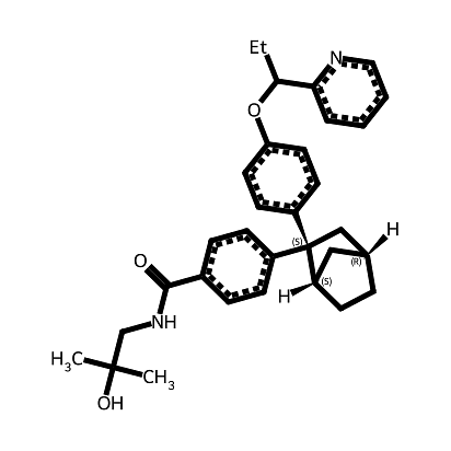 CCC(Oc1ccc([C@@]2(c3ccc(C(=O)NCC(C)(C)O)cc3)C[C@@H]3CC[C@H]2C3)cc1)c1ccccn1